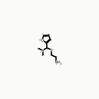 CN(C)C(SCCN)c1ccco1